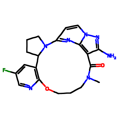 CN1CCCOc2ncc(F)cc2C2CCCN2c2ccn3nc(N)c(c3n2)C1=O